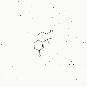 CCC1CCC2CCC(=O)C=C2C1(C)C